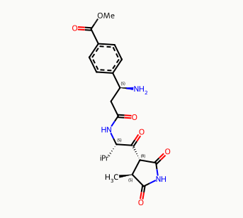 COC(=O)c1ccc([C@@H](N)CC(=O)N[C@H](C(=O)[C@@H]2C(=O)NC(=O)[C@H]2C)C(C)C)cc1